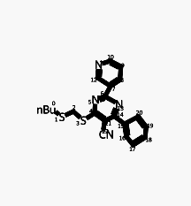 CCCCSCSc1nc(-c2cccnc2)nc(-c2ccccc2)c1C#N